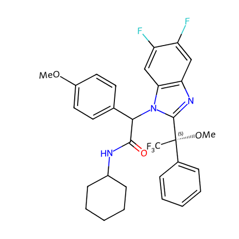 COc1ccc(C(C(=O)NC2CCCCC2)n2c([C@@](OC)(c3ccccc3)C(F)(F)F)nc3cc(F)c(F)cc32)cc1